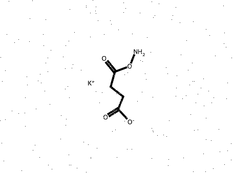 NOC(=O)CCC(=O)[O-].[K+]